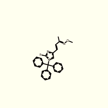 CON=C(C)C=Cc1cn(C(c2ccccc2)(c2ccccc2)c2ccccc2)c(F)n1